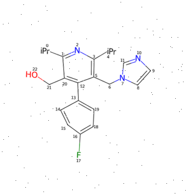 CC(C)c1nc(C(C)C)c(Cn2ccnc2)c(-c2ccc(F)cc2)c1CO